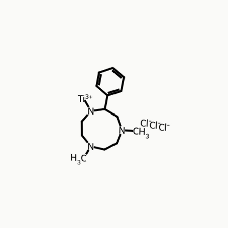 CN1CCN(C)CC(c2ccccc2)[N]([Ti+3])CC1.[Cl-].[Cl-].[Cl-]